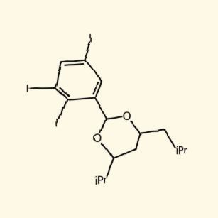 CC(C)CC1CC(C(C)C)OC(c2cc(I)cc(I)c2I)O1